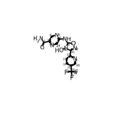 NC(=O)c1cnc(NC2ON=C(c3ccc(C(F)(F)F)cn3)N2O)cn1